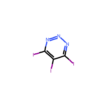 Ic1nnnc(I)c1I